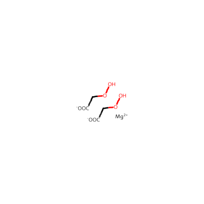 O=C([O-])COO.O=C([O-])COO.[Mg+2]